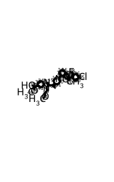 COCCn1c(C2CC23CCN(c2cccc4c2OC(C)(c2ccc(Cl)cc2F)O4)CC3)nc2ccc(C(O)OC)cc21